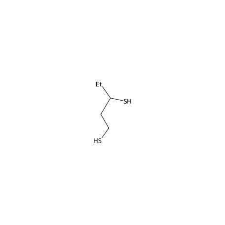 CCC(S)CCS